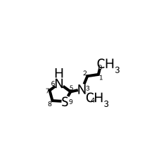 CCCN(C)C1NCCS1